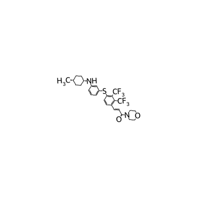 C[C@H]1CC[C@@H](Nc2cccc(Sc3ccc(/C=C/C(=O)N4CCOCC4)c(C(F)(F)F)c3C(F)(F)F)c2)CC1